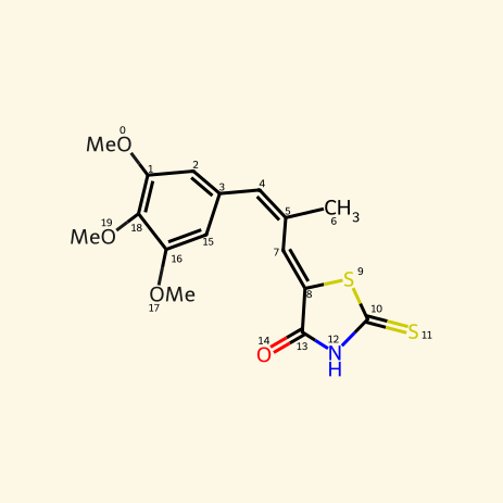 COc1cc(C=C(C)C=C2SC(=S)NC2=O)cc(OC)c1OC